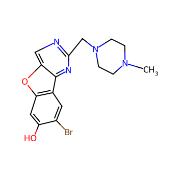 CN1CCN(Cc2ncc3oc4cc(O)c(Br)cc4c3n2)CC1